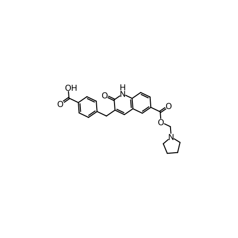 O=C(O)c1ccc(Cc2cc3cc(C(=O)OCN4CCCC4)ccc3[nH]c2=O)cc1